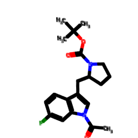 CC(=O)n1cc(CC2CCCN2C(=O)OC(C)(C)C)c2ccc(F)cc21